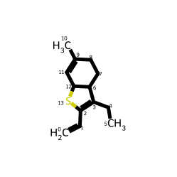 C=CC1=C(CC)C2CCC(C)=CC2S1